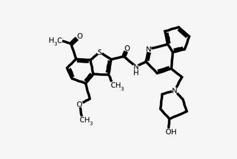 COCc1ccc(C(C)=O)c2sc(C(=O)Nc3cc(CN4CCC(O)CC4)c4ccccc4n3)c(C)c12